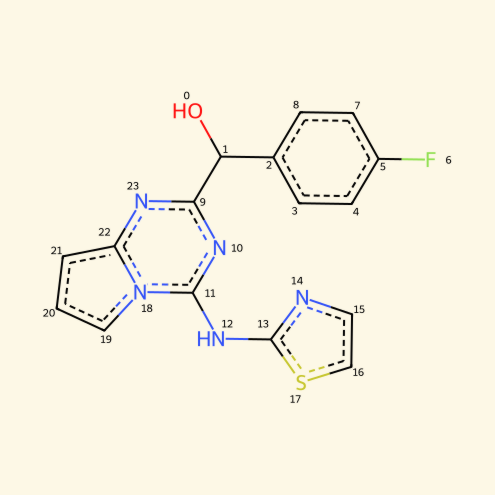 OC(c1ccc(F)cc1)c1nc(Nc2nccs2)n2cccc2n1